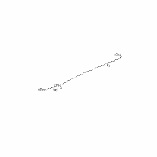 CCCCCCCC/C=C\CCCCCCCC(=O)CCCCCCCCCCCCCCCCCCCCCCCCCCCCCC(=O)N[C@H](CO)CCCCCCCCCCCCCCCC